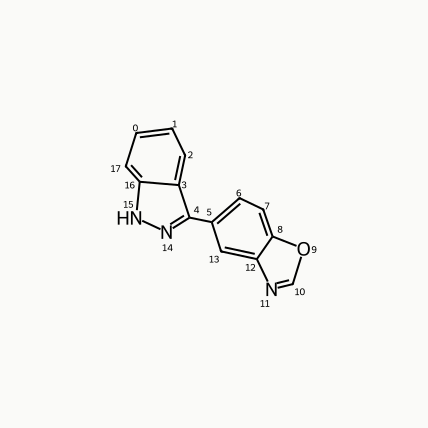 c1ccc2c(-c3ccc4ocnc4c3)n[nH]c2c1